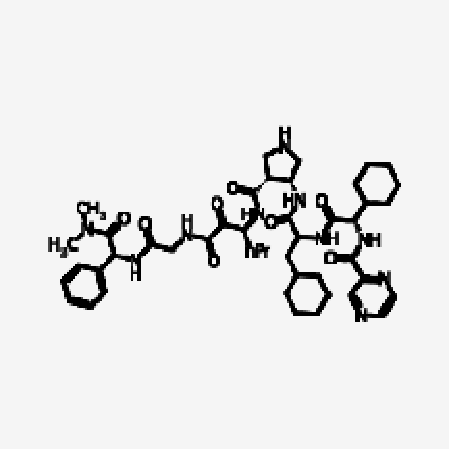 CCC[C@H](NC(=O)[C@@H]1CNC[C@@H]1NC(=O)C(CC1CCCCC1)NC(=O)[C@@H](NC(=O)c1cnccn1)C1CCCCC1)C(=O)C(=O)NCC(=O)N[C@H](C(=O)N(C)C)c1ccccc1